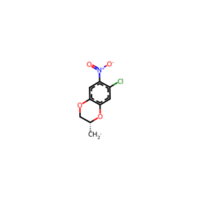 [CH2][C@@H]1COc2cc([N+](=O)[O-])c(Cl)cc2O1